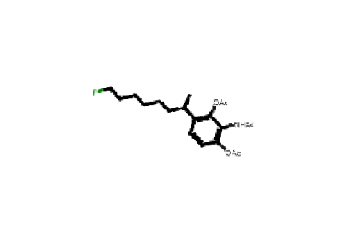 CC(=O)Nc1c(OC(C)=O)ccc(C(C)CCCCCCF)c1OC(C)=O